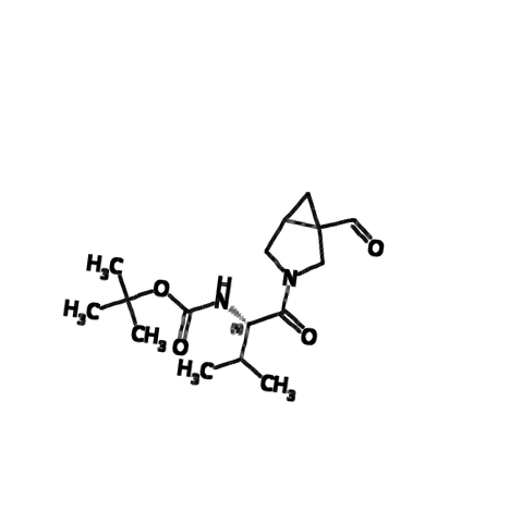 CC(C)[C@H](NC(=O)OC(C)(C)C)C(=O)N1CC2CC2(C=O)C1